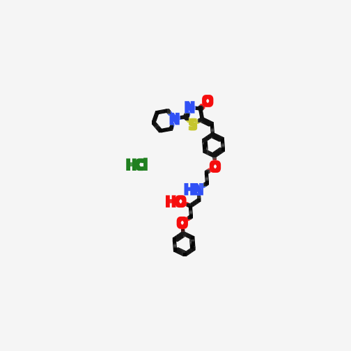 Cl.O=C1N=C(N2CCCCC2)S/C1=C\c1ccc(OCCNCC(O)COc2ccccc2)cc1